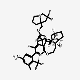 Cc1cc(N)cc(-c2nc3c4c(nc(OCC56CCCN5CC(F)(F)C6)nc4c2F)N2C[C@H]4CC[C@@H]([C@H]2CCO3)N4C(=O)OC(C)(C)C)c1C(F)(F)F